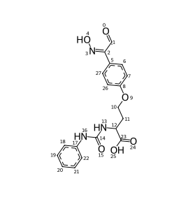 O=[C]/C(=N\O)c1ccc(OCCC(NC(=O)Nc2ccccc2)C(=O)O)cc1